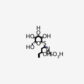 C=CC(O)C/C(=N\OS(=O)(=O)O)S[C@@H]1O[C@H](CO)[C@@H](O)[C@H](O)[C@H]1O